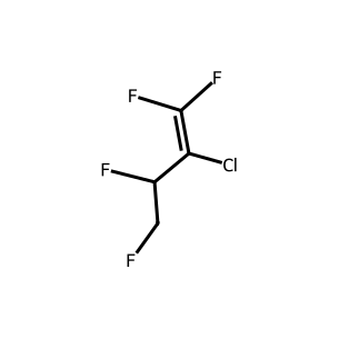 FCC(F)C(Cl)=C(F)F